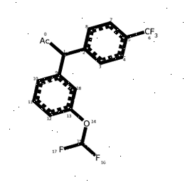 CC(=O)C(c1ccc(C(F)(F)F)cc1)c1cccc(OC(F)F)c1